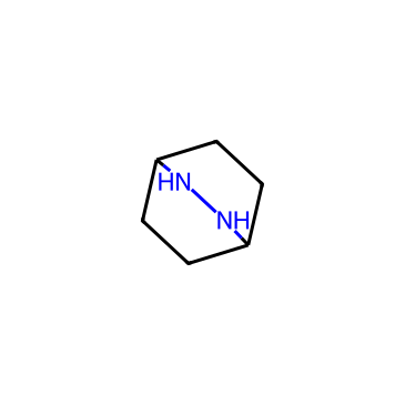 C1CC2CCC1NN2